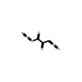 [N-]=[N+]=CC(=O)C(=O)N=[N+]=[N-]